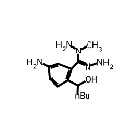 CCCCC(O)c1ccc(N)cc1/C(=N/N)N(C)N